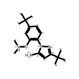 C[SiH](C)Oc1cc(C(C)(C)C)ccc1-n1nc(C(C)(C)C)cc1N